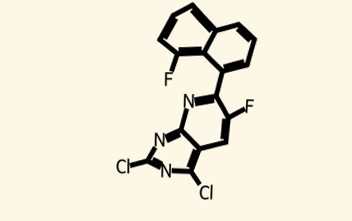 Fc1cc2c(Cl)nc(Cl)nc2nc1-c1cccc2cccc(F)c12